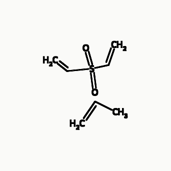 C=CC.C=CS(=O)(=O)C=C